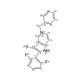 Fc1cccc(F)c1-c1[nH]c2cc[n+](Cc3ccccc3)cc2c1F